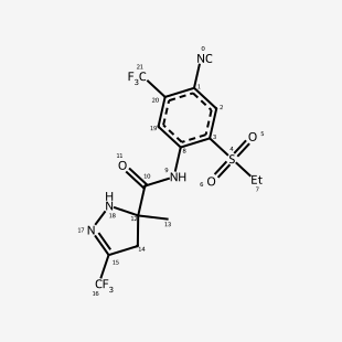 [C-]#[N+]c1cc(S(=O)(=O)CC)c(NC(=O)C2(C)CC(C(F)(F)F)=NN2)cc1C(F)(F)F